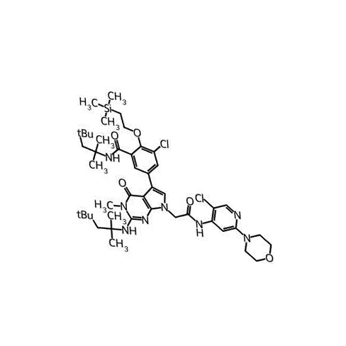 Cn1c(NC(C)(C)CC(C)(C)C)nc2c(c(-c3cc(Cl)c(OCC[Si](C)(C)C)c(C(=O)NC(C)(C)CC(C)(C)C)c3)cn2CC(=O)Nc2cc(N3CCOCC3)ncc2Cl)c1=O